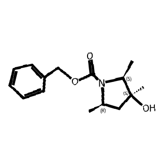 C[C@@H]1C[C@](C)(O)[C@H](C)N1C(=O)OCc1ccccc1